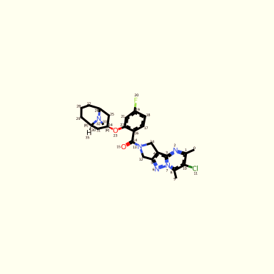 Cc1nc2c3c(nn2c(C)c1Cl)CN(C(=O)c1ccc(F)cc1O[C@@H]1CC2CCC[C@H](C1)N2C)C3